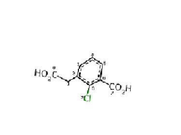 O=C(O)Cc1cccc(C(=O)O)c1Cl